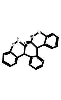 O=C1NOc2ccccc2C1c1ccccc1C1C(=O)NOc2ccccc21